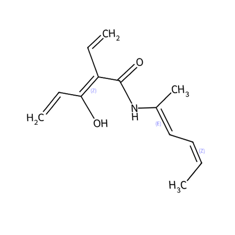 C=C/C(O)=C(\C=C)C(=O)N/C(C)=C/C=C\C